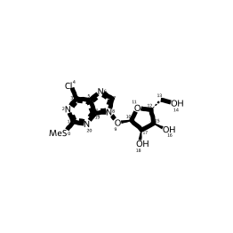 CSc1nc(Cl)c2ncn(O[C@H]3O[C@H](CO)[C@@H](O)[C@H]3O)c2n1